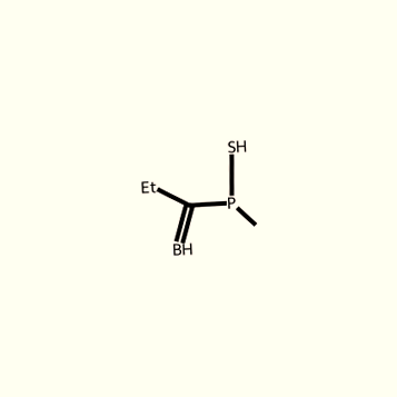 B=C(CC)P(C)S